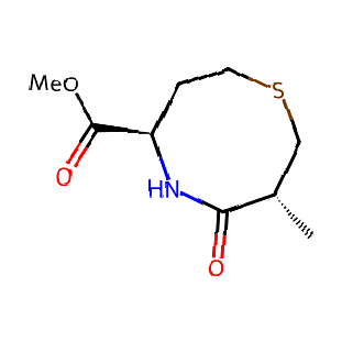 COC(=O)[C@H]1CCSC[C@H](C)C(=O)N1